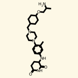 Cc1cc(NC2CCC(=O)NC2=O)ccc1N1CCN(CC2CCC(OCC(C)N)CC2)CC1